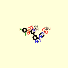 [2H]C([2H])([2H])n1cc(-c2ccc3ncnc(N4CCN(C(=O)OC(C)(C)C)CC4)c3c2)cc(S(=O)(=O)c2ccc(F)cc2F)c1=O